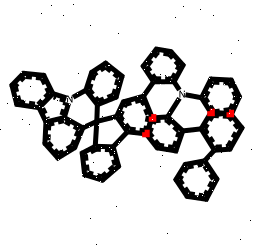 c1ccc(-c2ccccc2-c2ccccc2N(c2ccccc2)c2ccccc2-c2ccc3c(c2)C2(c4ccccc4-3)c3ccccc3-n3c4ccccc4c4cccc2c43)cc1